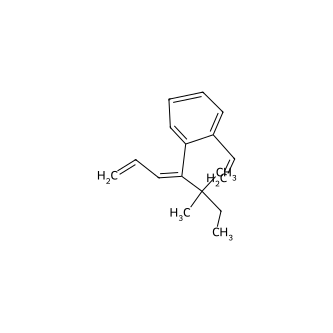 C=C/C=C(\c1ccccc1C=C)C(C)(C)CC